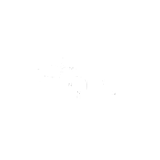 O=S(=O)(CC(F)(F)F)Nc1n[nH]c2cc(Br)ccc12